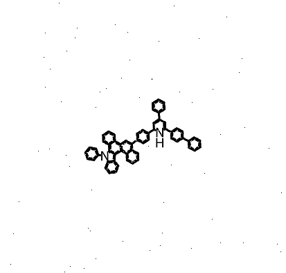 C1=C(c2ccccc2)C=C(c2ccc(-c3ccccc3)cc2)NC1c1ccc(-c2cc3c4ccccc4c4c(c5ccccc5n4-c4ccccc4)c3c3ccccc23)cc1